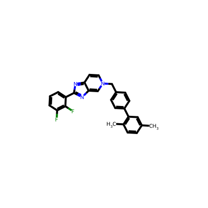 Cc1ccc(C)c(-c2ccc(Cn3ccc4nc(-c5cccc(F)c5F)nc-4c3)cc2)c1